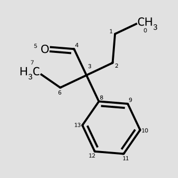 CCCC(C=O)(CC)c1ccccc1